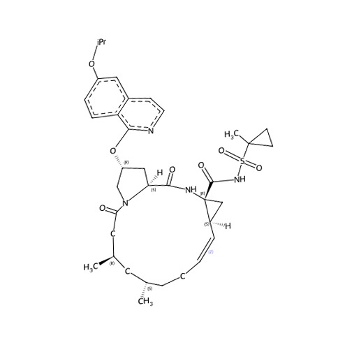 CC(C)Oc1ccc2c(O[C@@H]3C[C@H]4C(=O)N[C@]5(C(=O)NS(=O)(=O)C6(C)CC6)C[C@H]5/C=C\CC[C@H](C)C[C@@H](C)CC(=O)N4C3)nccc2c1